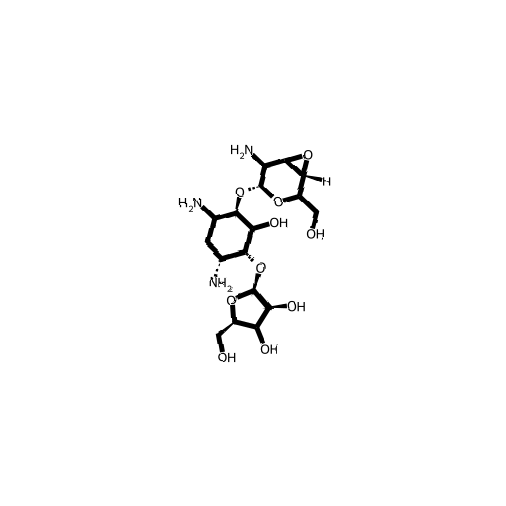 NC1C2O[C@@H]2C(CO)O[C@@H]1O[C@@H]1C(N)C[C@@H](N)[C@@H](O[C@@H]2O[C@H](CO)C(O)[C@@H]2O)C1O